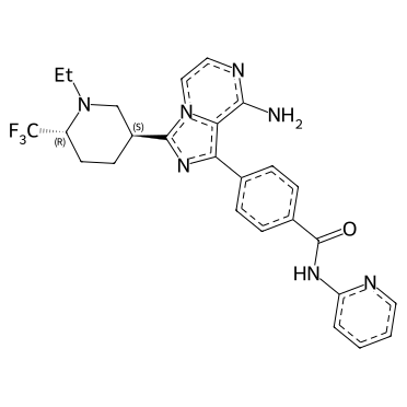 CCN1C[C@@H](c2nc(-c3ccc(C(=O)Nc4ccccn4)cc3)c3c(N)nccn23)CC[C@@H]1C(F)(F)F